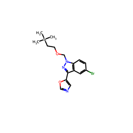 C[Si](C)(C)CCOCn1nc(-c2cnco2)c2cc(Br)ccc21